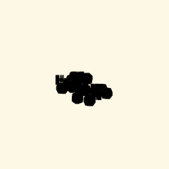 CC1(C)c2ccc3cccc4c3c2Sc2c(cc3c(sc5ccccc53)c21)N(c1ccccc1)c1ccc(-c2nc3ccc5ccccc5c3nc2-c2ccccc2)cc1-4